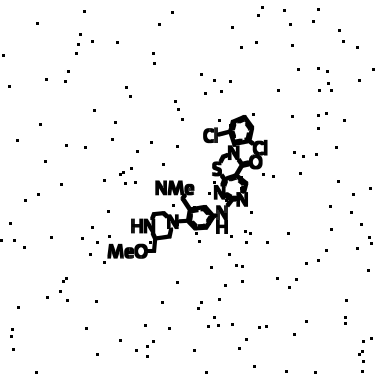 CNCc1cc(Nc2ncc3c(n2)SCN(c2c(Cl)cccc2Cl)C3=O)ccc1N1CCNC(COC)C1